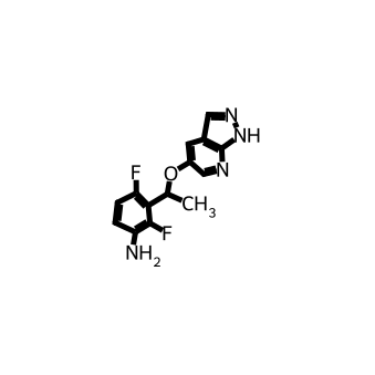 CC(Oc1cnc2[nH]ncc2c1)c1c(F)ccc(N)c1F